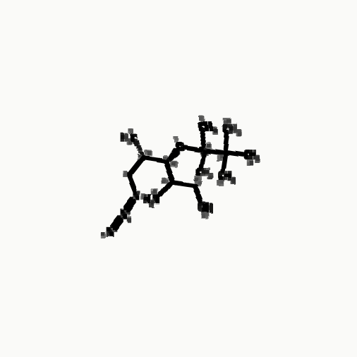 C[C@@H](CN=[N+]=[N-])[C@@H](O[Si](C)(C)C(C)(C)C)C(N)CO